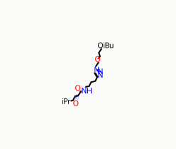 CC(C)COCCCOCCn1cc(CCCCNC(=O)/C=C/C(=O)C(C)C)nn1